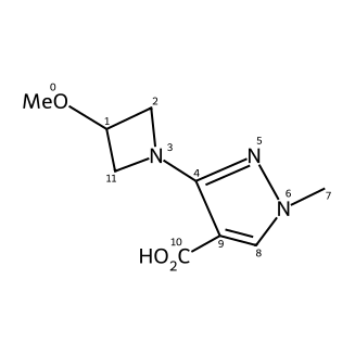 COC1CN(c2nn(C)cc2C(=O)O)C1